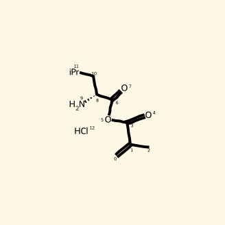 C=C(C)C(=O)OC(=O)[C@H](N)CC(C)C.Cl